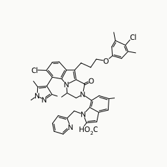 Cc1cc(N2CC(C)n3c(c(CCCOc4cc(C)c(Cl)c(C)c4)c4ccc(Cl)c(-c5c(C)nn(C)c5C)c43)C2=O)c2c(c1)cc(C(=O)O)n2Cc1ccccn1